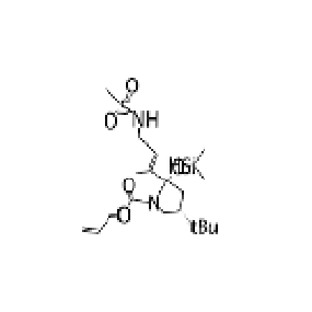 C=CCOC(=O)N1C[C@@H](C(C)(C)C)C[C@]1(O[SiH](C)C)/C(C)=C/CNS(C)(=O)=O